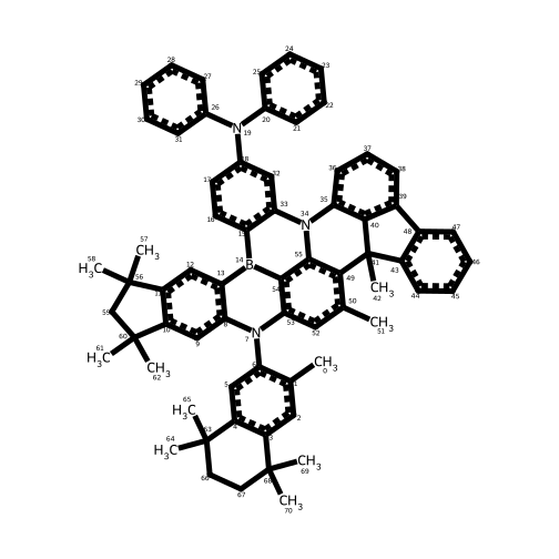 Cc1cc2c(cc1N1c3cc4c(cc3B3c5ccc(N(c6ccccc6)c6ccccc6)cc5N5c6cccc7c6C(C)(c6ccccc6-7)c6c(C)cc1c3c65)C(C)(C)CC4(C)C)C(C)(C)CCC2(C)C